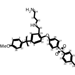 COc1ccc(C(C)(C)c2ccc(Oc3ccc(S(=O)(=O)c4ccc(C)cc4)cc3)c(CNCCCN)c2)cc1